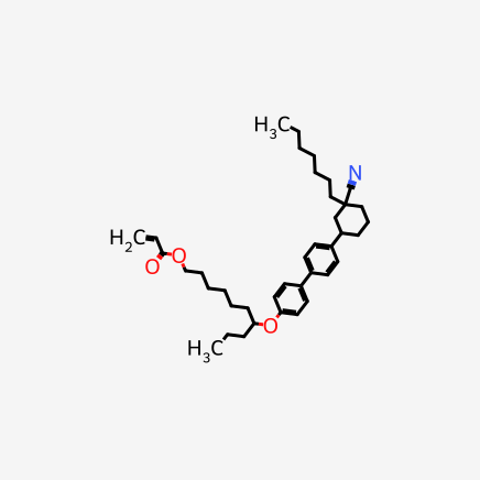 C=CC(=O)OCCCCCCC(CCC)Oc1ccc(-c2ccc(C3CCCC(C#N)(CCCCCCC)C3)cc2)cc1